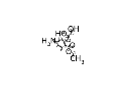 CCOC(=O)c1ccc(N)cc1CC(O)CO